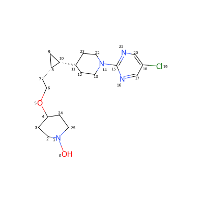 ON1CCC(OCC[C@@H]2C[C@@H]2C2CCN(c3ncc(Cl)cn3)CC2)CC1